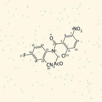 CC(=O)OCN(C(=O)c1cc([N+](=O)[O-])ccc1Cl)c1ccc(F)cc1C#N